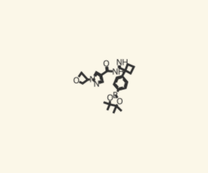 CC1(C)OB(c2ccc(C3(C(=N)NC(=O)c4cnn(C5COC5)c4)CCC3)cc2)OC1(C)C